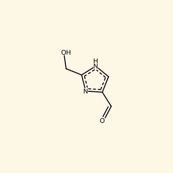 O=Cc1c[nH]c(CO)n1